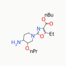 CCCCOC(=O)c1nc(N2CCC(N)C(OCCC)C2)oc1CC